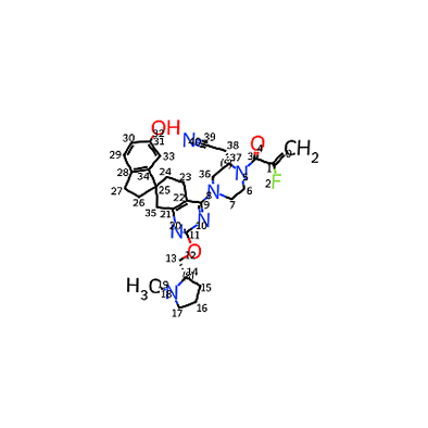 C=C(F)C(=O)N1CCN(c2nc(OC[C@@H]3CCCN3C)nc3c2CCC2(CCc4ccc(O)cc42)C3)C[C@@H]1CC#N